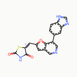 O=C1NC(=O)/C(=C\c2cc3cncc(-c4ccc5[nH]cnc5c4)c3o2)S1